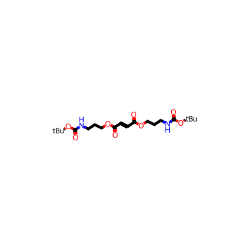 CC(C)(C)OC(=O)NCCCOC(=O)/C=C/C(=O)OCCCNC(=O)OC(C)(C)C